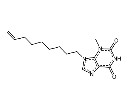 C=CCCCCCCCn1cnc2c(=O)[nH]c(=O)n(C)c21